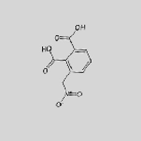 O=C(O)c1cccc(C[N+](=O)[O-])c1C(=O)O